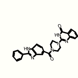 O=C(c1ccc2[nH]c(-c3ccccc3)nc2c1)N1CCN(c2nc3ccccc3c(=O)[nH]2)CC1